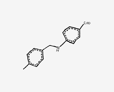 Cc1ccc(CNc2ccc(C=O)cc2)cc1